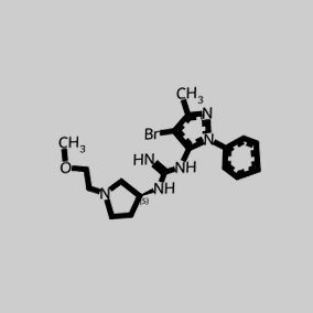 COCCN1CC[C@H](NC(=N)Nc2c(Br)c(C)nn2-c2ccccc2)C1